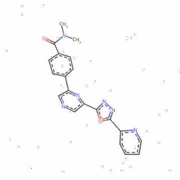 CN(C)C(=O)c1ccc(-c2cncc(-c3nnc(-c4ccccn4)o3)n2)cc1